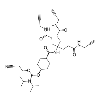 C#CCNC(=O)CCC(CCC(=O)NCC#C)(CCC(=O)NCC#C)NC(=O)[C@H]1CC[C@@H](OP(OCCC#N)N(C(C)C)C(C)C)CC1